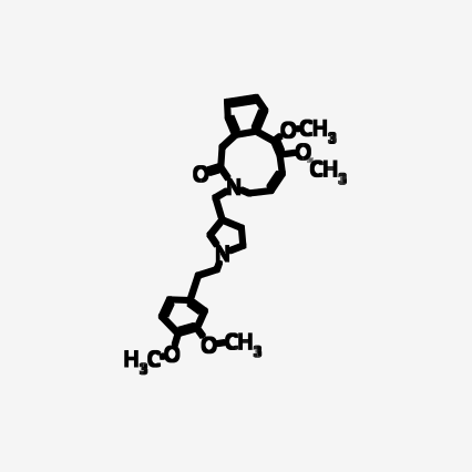 COC1=C(OC)c2ccccc2CC(=O)N(CC2CCN(CCc3ccc(OC)c(OC)c3)C2)CC=C1